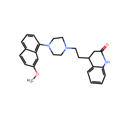 COc1ccc2cccc(N3CCN(CCC4CC(=O)Nc5ccccc54)CC3)c2c1